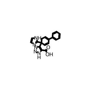 O=C(O)c1[nH]nnc1C1(c2ncc[nH]2)C=CC(c2ccccc2)=CC1